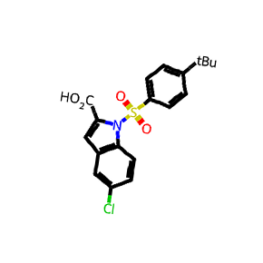 CC(C)(C)c1ccc(S(=O)(=O)n2c(C(=O)O)cc3cc(Cl)ccc32)cc1